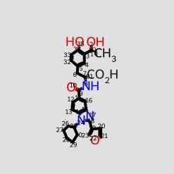 C[C@H](O)c1cc(CC(NC(=O)c2ccc3c(c2)nc(-c2ccoc2)n3C2CCCCC2)C(=O)O)ccc1O